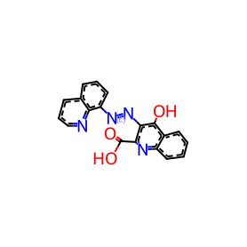 O=C(O)c1nc2ccccc2c(O)c1/N=N/c1cccc2cccnc12